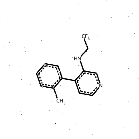 Cc1ccccc1-c1ccncc1NCC(F)(F)F